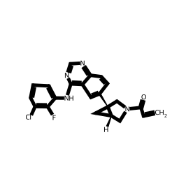 C=CC(=O)N1C[C@@H]2C[C@]2(c2ccc3ncnc(Nc4cccc(Cl)c4F)c3c2)C1